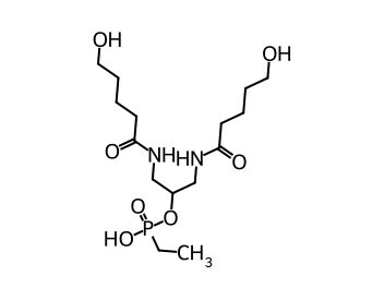 CCP(=O)(O)OC(CNC(=O)CCCCO)CNC(=O)CCCCO